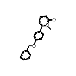 Cn1c(-c2ccc(OCc3ccccc3)cc2)cccc1=O